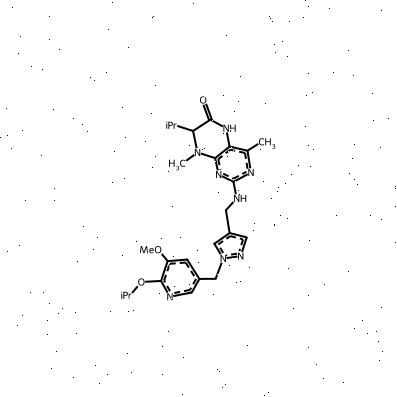 COc1cc(Cn2cc(CNc3nc(C)c4c(n3)N(C)C(C(C)C)C(=O)N4)cn2)cnc1OC(C)C